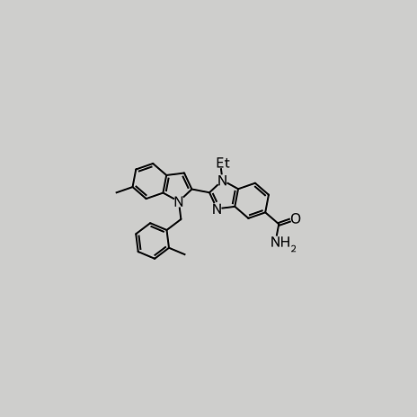 CCn1c(-c2cc3ccc(C)cc3n2Cc2ccccc2C)nc2cc(C(N)=O)ccc21